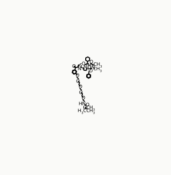 C[C@@H](C(=O)N[C@H](C(=O)N1CCC[C@H]1c1nc(C(=O)c2cccc(OCCOCCOCCOCCOCCNC(=O)OC(C)(C)C)c2)cs1)C1CCCCC1)N(C)C(=O)OCc1ccccc1